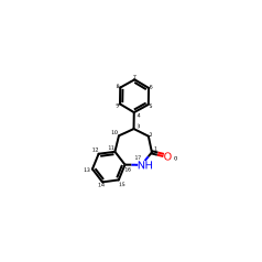 O=C1CC(c2ccccc2)Cc2ccccc2N1